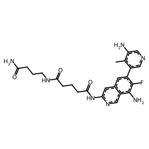 Cc1c(N)cncc1-c1cc2cc(NC(=O)CCCC(=O)NCCCC(N)=O)ncc2c(N)c1F